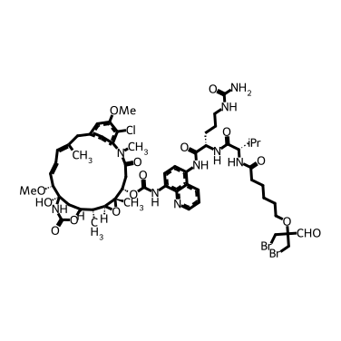 COc1cc2cc(c1Cl)N(C)C(=O)C[C@H](OC(=O)Nc1ccc(NC(=O)[C@H](CCCNC(N)=O)NC(=O)[C@@H](NC(=O)CCCCCOC(C=O)(CBr)CBr)C(C)C)c3cccnc13)[C@]1(C)O[C@H]1[C@H](C)[C@@H]1C[C@@](O)(NC(=O)O1)[C@H](OC)/C=C/C=C(\C)C2